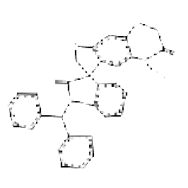 CN1C(=O)COc2cc3c(cc21)C1(CO3)C(=O)N(C(c2ccccc2)c2ccccc2)c2ccccc21